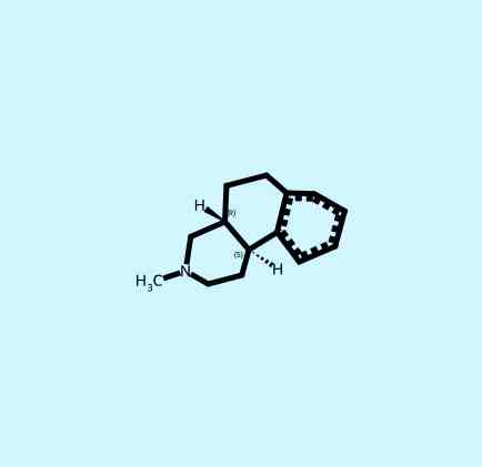 CN1CC[C@@H]2c3ccccc3CC[C@H]2C1